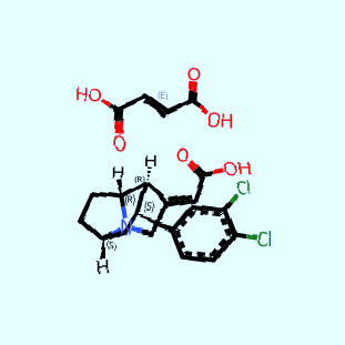 O=C(O)/C=C/C(=O)O.O=C(O)C=C1CN2[C@H]3CC[C@@H]2[C@@H]1[C@@H](c1ccc(Cl)c(Cl)c1)C3